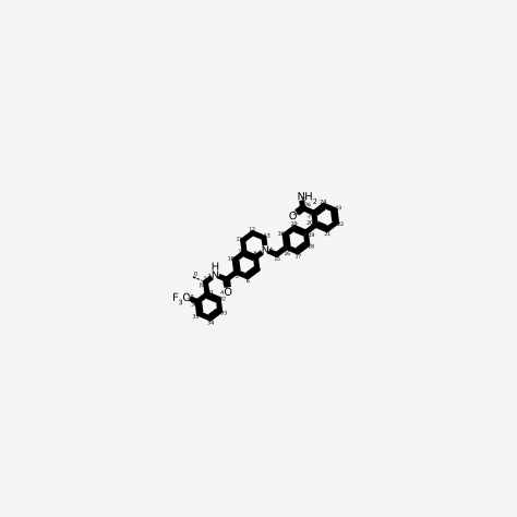 C[C@H](NC(=O)c1ccc2c(c1)CCCN2Cc1ccc(-c2ccccc2C(N)=O)cc1)c1ccccc1C(F)(F)F